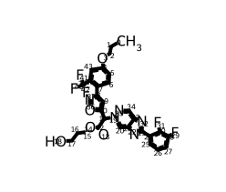 CCCOc1ccc(-c2cc(C(C(=O)OCCCO)n3cc4nc(-c5cccc(F)c5F)nc-4cn3)on2)c(C(F)(F)F)c1